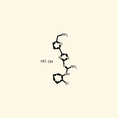 CCc1ccccc1NC(N)=Nc1nc(-c2ccc(CN)o2)cs1.Cl.Cl